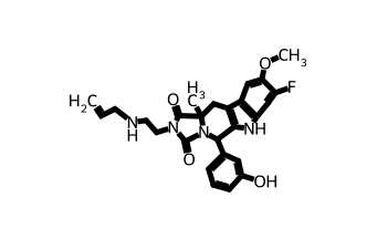 C=CCNCCN1C(=O)N2C(c3cccc(O)c3)c3[nH]c4cc(F)c(OC)cc4c3CC2(C)C1=O